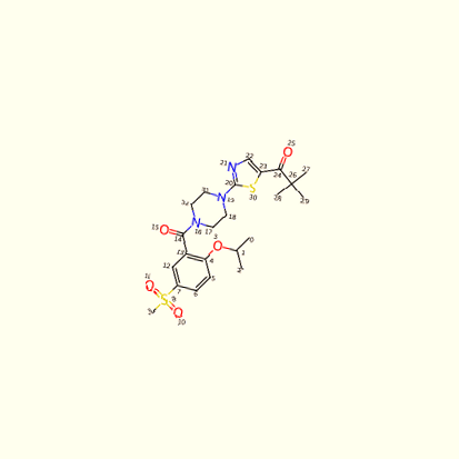 CC(C)Oc1ccc(S(C)(=O)=O)cc1C(=O)N1CCN(c2ncc(C(=O)C(C)(C)C)s2)CC1